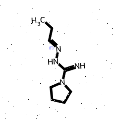 CC/C=N/NC(=N)N1CCCC1